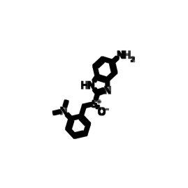 CN(C)c1ccccc1C[S+]([O-])c1nc2cc(N)ccc2[nH]1